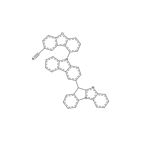 N#Cc1ccc2oc3cccc(-n4c5ccccc5c5cc(C6c7ccccc7-n7c6nc6ccccc67)ccc54)c3c2c1